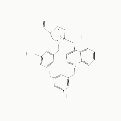 C=CC1C[N+]2(Cc3cc(C(F)(F)F)cc(C(F)(F)F)c3)CCC1CC2[C@H](O)c1cc[n+](Cc2cc(C)cc(C(F)(F)F)c2)c2ccccc12